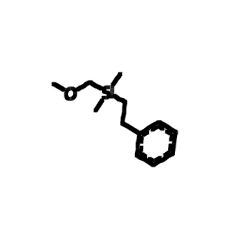 COC[Si](C)(C)CCc1ccccc1